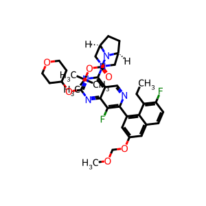 CCc1c(F)ccc2cc(OCOC)cc(-c3ncc4c(N5C[C@H]6CC[C@@H](C5)N6C(=O)OC(C)(C)C)nc(OC5CCOCC5)nc4c3F)c12